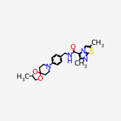 Cc1cn2c(C(=O)NCc3ccc(N4CCC5(CC4)OC[C@@H](C)O5)cc3)c(C)nc2s1